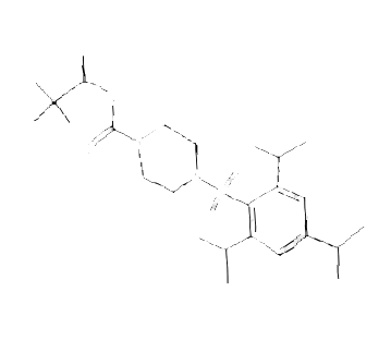 CC(C)c1cc(C(C)C)c(S(=O)(=O)N2CCN(C(=O)OC(C)C(F)(F)F)CC2)c(C(C)C)c1